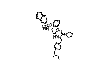 CCN(C)Cc1ccc(CC(NC(=O)CC(NS(=O)(=O)c2ccc3ccccc3c2)c2ccccc2)C(=O)N2CCCC2)cc1